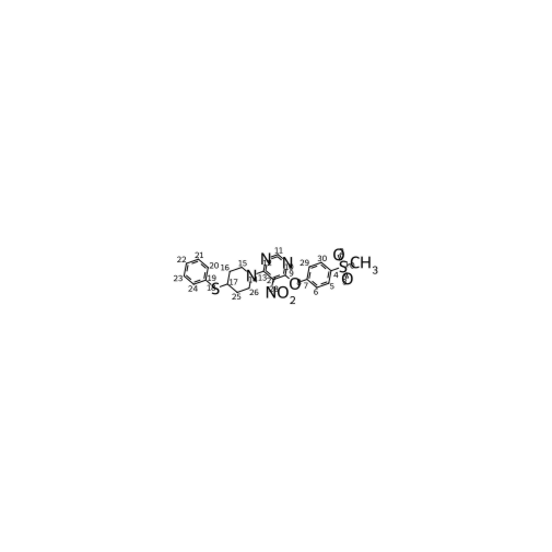 CS(=O)(=O)c1ccc(Oc2ncnc(N3CCC(Sc4ccccc4)CC3)c2[N+](=O)[O-])cc1